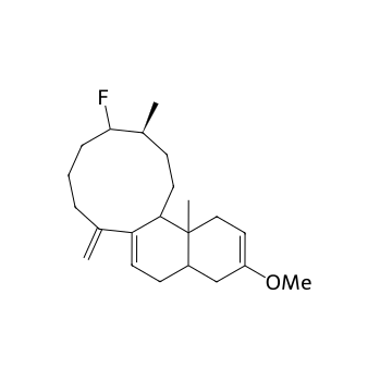 C=C1CCCC(F)[C@@H](C)CCC2C1=CCC1CC(OC)=CCC12C